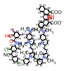 Cc1cc(/C=C/c2ccc3cc(N(C)C)ccc3[n+]2C)c(C)n1-c1ccccc1.Cc1cc(/C=C/c2ccc3cc(N(C)C)ccc3[n+]2C)c(C)n1-c1ccccc1.Cc1cc(C(C#N)c2ccc(Cl)cc2)c(Cl)cc1NC(=O)c1cc(I)cc(I)c1O.O=C([O-])c1cc2ccccc2c(Cc2c(O)c(C(=O)[O-])cc3ccccc23)c1O